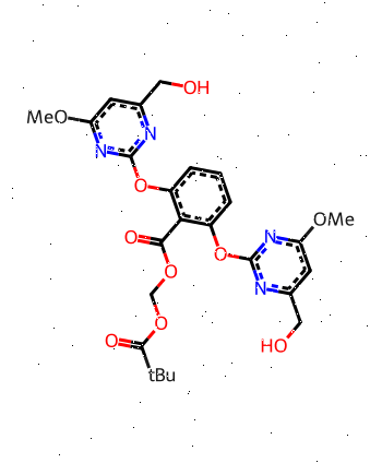 COc1cc(CO)nc(Oc2cccc(Oc3nc(CO)cc(OC)n3)c2C(=O)OCOC(=O)C(C)(C)C)n1